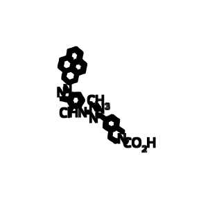 Cn1nc(-c2ccc3c(c2)CCN(C(=O)O)C3)nc1Nc1ccc2c(cnn2C2Cc3ccc4cccc5c4c3C(C=C5)C2)c1Cl